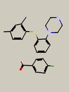 Cc1ccc(Sc2ccccc2N2CCNCC2)c(C)c1.O=C(O)c1ccc(Cl)cc1